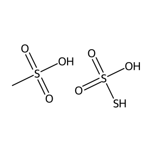 CS(=O)(=O)O.O=S(=O)(O)S